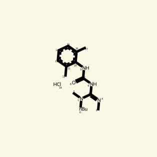 CCCCN(C)C(=NC)NC(=O)Nc1c(C)cccc1C.Cl